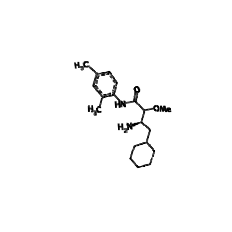 COC(C(=O)Nc1ccc(C)cc1C)[C@H](N)CC1CCCCC1